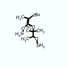 CC(=C(O[SiH3])OC(C)(C)C(C)O[SiH3])C(C)(C)C